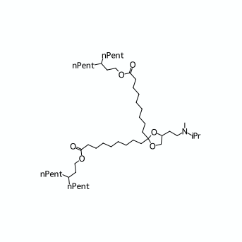 CCCCCC(CCCCC)CCOC(=O)CCCCCCCCC1(CCCCCCCCC(=O)OCCC(CCCCC)CCCCC)OCC(CCN(C)C(C)C)O1